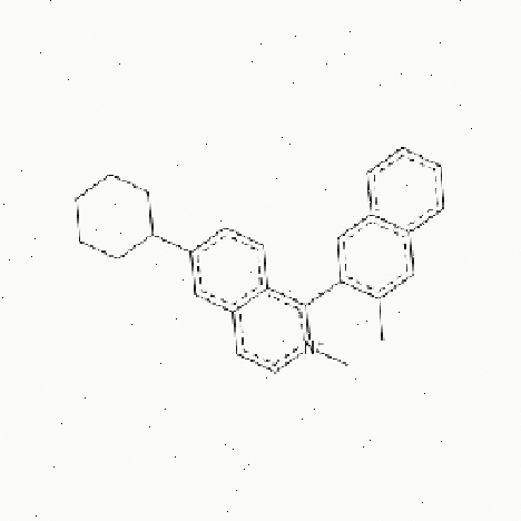 Cc1cc2ccccc2cc1-c1c2ccc(C3CCCCC3)cc2cc[n+]1C